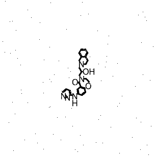 O=C1c2cc(Nc3cccnn3)ccc2OCCN1CC(O)CN1CCc2ccccc2C1